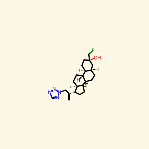 C=C(Cn1ncnn1)[C@H]1CC[C@H]2[C@@H]3CC[C@H]4C[C@@](O)(CF)CC[C@@H]4[C@H]3CC[C@]12C